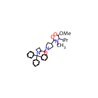 COC(=O)C(C(C)C)N(C)C(=O)C1CCN(C(=O)[C@H]2CCN2C(c2ccccc2)(c2ccccc2)c2ccccc2)CC1